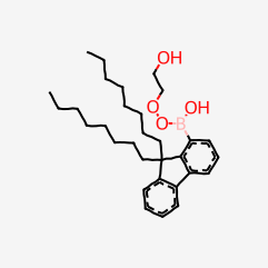 CCCCCCCCC1(CCCCCCCC)c2ccccc2-c2cccc(B(O)OOCCO)c21